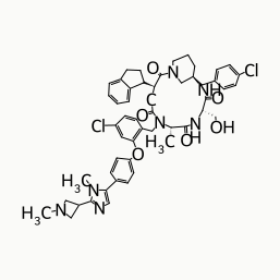 C[C@H]1C(=O)N[C@@H](CO)C(=O)N[C@@]2(Cc3ccc(Cl)cc3)CCCN(C2)C(=O)[C@H](C2CCc3ccccc32)CC(=O)N1Cc1ccc(Cl)cc1Oc1ccc(-c2cnc(C3CN(C)C3)n2C)cc1